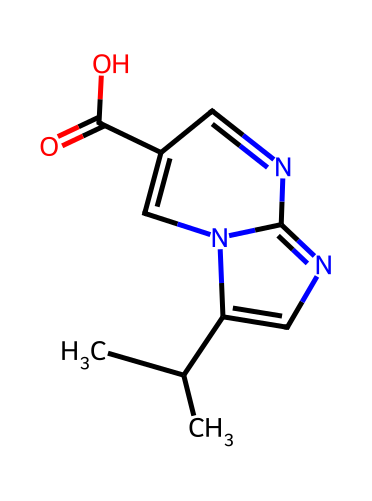 CC(C)c1cnc2ncc(C(=O)O)cn12